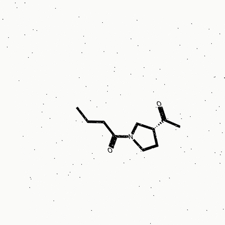 CCCC(=O)N1CC[C@@H](C(C)=O)C1